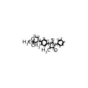 CC1C(=O)N(c2ccccc2)C(=S)N1c1ccc(N2CCOC(C)(C)C2)cc1